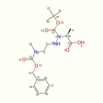 C[C@@H](C(=O)O)N(NCCN(C)C(=O)OCc1ccccc1)C(=O)OC(C)(C)C